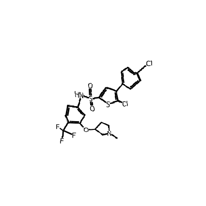 CN1CCC(Oc2cc(NS(=O)(=O)c3cc(-c4ccc(Cl)cc4)c(Cl)s3)ccc2C(F)(F)F)C1